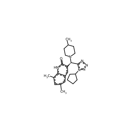 Cc1cc(C)c2[nH]c(=O)c([C@H](c3nnnn3C3CCCC3)N3CCC(C)CC3)cc2c1